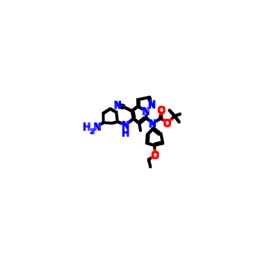 CCOc1ccc(N(C(=O)OC(C)(C)C)c2c(C)c(NC3CCCC(N)C3)c(C#N)c3ccnn23)cc1